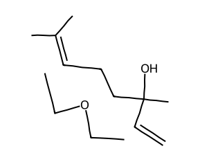 C=CC(C)(O)CCC=C(C)C.CCOCC